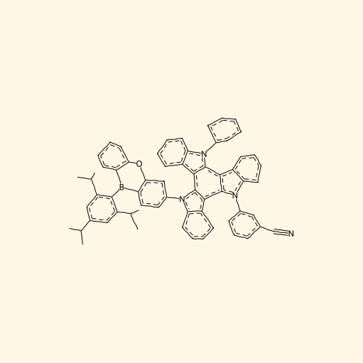 CC(C)c1cc(C(C)C)c(B2c3ccccc3Oc3cc(-n4c5ccccc5c5c6c(c7ccccc7n6-c6cccc(C#N)c6)c6c(c7ccccc7n6-c6ccccc6)c54)ccc32)c(C(C)C)c1